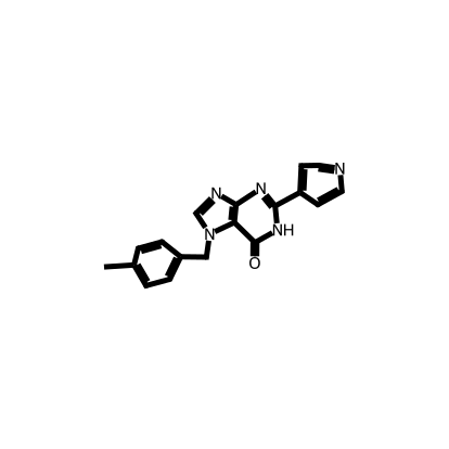 Cc1ccc(Cn2cnc3nc(-c4ccncc4)[nH]c(=O)c32)cc1